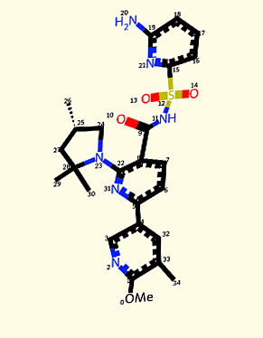 COc1ncc(-c2ccc(C(=O)NS(=O)(=O)c3cccc(N)n3)c(N3C[C@@H](C)CC3(C)C)n2)cc1C